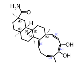 CC1=C/C/C=C2\[C@](C)(\C=C/C(O)=C\1O)CC[C@@]1(C)[C@@H]3C[C@](C)(C(N)=O)CC[C@]3(C)CC[C@]21C